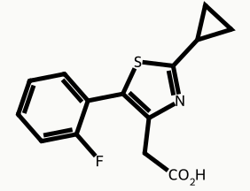 O=C(O)Cc1nc(C2CC2)sc1-c1ccccc1F